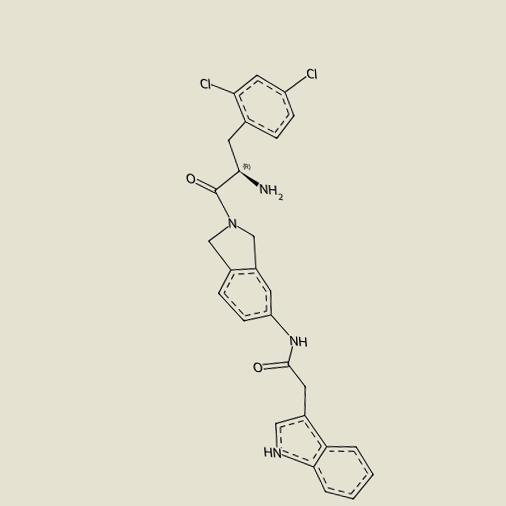 N[C@H](Cc1ccc(Cl)cc1Cl)C(=O)N1Cc2ccc(NC(=O)Cc3c[nH]c4ccccc34)cc2C1